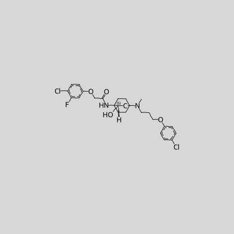 CN(CCCOc1ccc(Cl)cc1)C12CCC(NC(=O)COc3ccc(Cl)c(F)c3)(CC1)[C@@H](O)C2